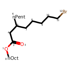 CCCCCCCCOC(=O)CC(CCCCC)CCCCCBr